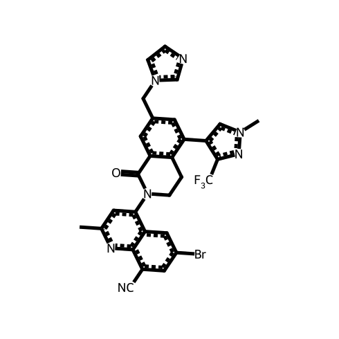 Cc1cc(N2CCc3c(cc(Cn4ccnc4)cc3-c3cn(C)nc3C(F)(F)F)C2=O)c2cc(Br)cc(C#N)c2n1